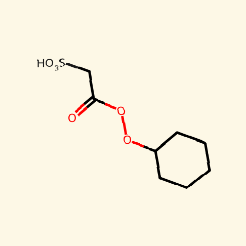 O=C(CS(=O)(=O)O)OOC1CCCCC1